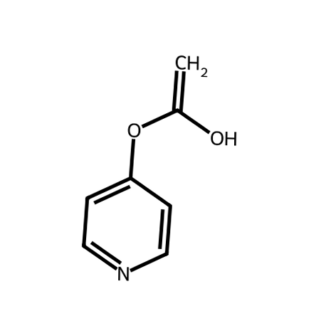 C=C(O)Oc1ccncc1